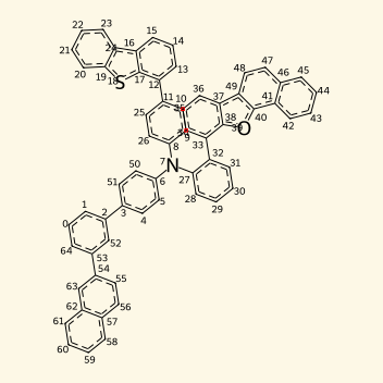 c1cc(-c2ccc(N(c3ccc(-c4cccc5c4sc4ccccc45)cc3)c3ccccc3-c3cccc4c3oc3c5ccccc5ccc43)cc2)cc(-c2ccc3ccccc3c2)c1